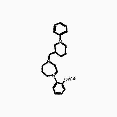 COc1ccccc1N1CCCN(CC2CCCN(c3ccccc3)C2)CC1